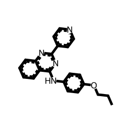 CCCOc1ccc(Nc2nc(-c3ccncc3)nc3ccccc23)cc1